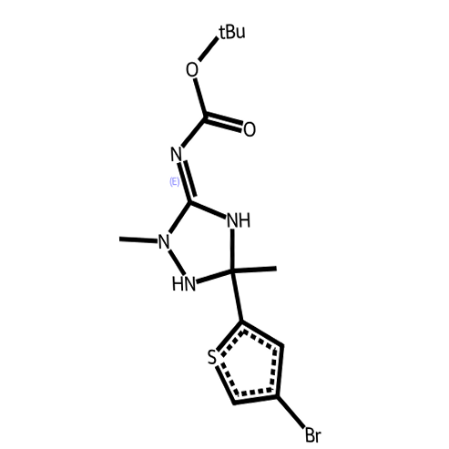 CN1NC(C)(c2cc(Br)cs2)N/C1=N\C(=O)OC(C)(C)C